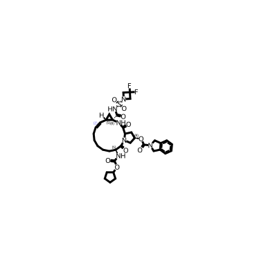 O=C(N[C@H]1CCCCC/C=C\[C@@H]2C[C@@]2(C(=O)NS(=O)(=O)N2CC(F)(F)C2)NC(=O)C2C[C@@H](OC(=O)N3Cc4ccccc4C3)CN2C1=O)OC1CCCC1